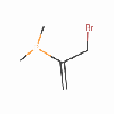 C=C(CBr)P(C)C